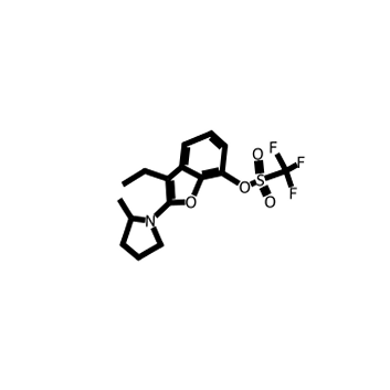 CCc1c(N2CCCC2C)oc2c(OS(=O)(=O)C(F)(F)F)cccc12